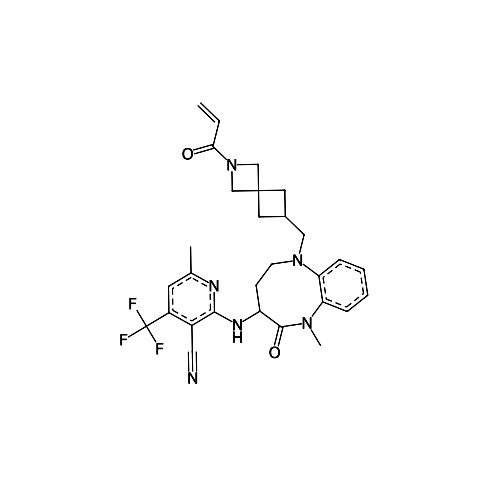 C=CC(=O)N1CC2(CC(CN3CCC(Nc4nc(C)cc(C(F)(F)F)c4C#N)C(=O)N(C)c4ccccc43)C2)C1